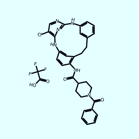 O=C(Nc1ccc2cc1CCc1cccc(c1)Nc1ncc(Cl)c(n1)N2)C1CCN(C(=O)c2ccccc2)CC1.O=C(O)C(F)(F)F